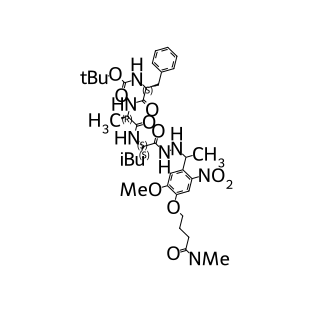 CC[C@H](C)[C@H](NC(=O)[C@@H](C)NC(=O)[C@H](Cc1ccccc1)NC(=O)OC(C)(C)C)C(=O)NNC(C)c1cc(OC)c(OCCCC(=O)NC)cc1[N+](=O)[O-]